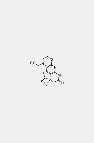 O=C1CC(C(F)F)(C(F)(F)F)c2cc3c(cc2N1)OCCN3CC(F)(F)F